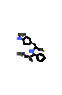 CC(=O)O.CC(C[C@H]1CC[C@H](NC(=O)O)CC1)NC(C)c1ccccc1